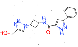 O=C(NC1CC(n2cc(CO)nn2)C1)c1cc(-c2ccccc2)n[nH]1